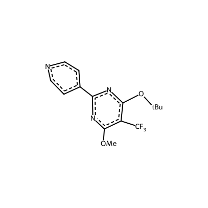 COc1nc(-c2ccncc2)nc(OC(C)(C)C)c1C(F)(F)F